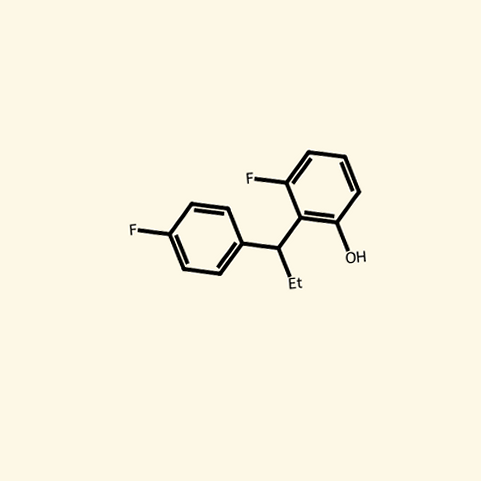 CCC(c1ccc(F)cc1)c1c(O)cccc1F